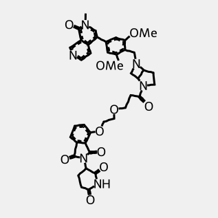 COc1cc(-c2cn(C)c(=O)c3cnccc23)cc(OC)c1CN1CC2C1CCN2C(=O)CCOCCOc1cccc2c1C(=O)N(C1CCC(=O)NC1=O)C2=O